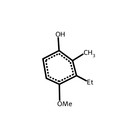 CCc1c(OC)ccc(O)c1C